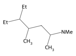 CCC(CC)C(C)CC(C)NC